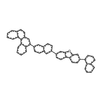 c1ccc2c(-c3ccc4c(c3)oc3cc(-c5ccc6cc(-c7cc8ccc9ccccc9c8c8ccccc78)ccc6c5)ccc34)cccc2c1